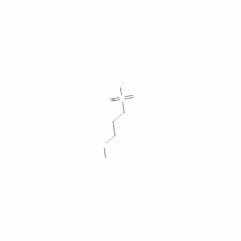 CSCCCS(=O)(=O)O